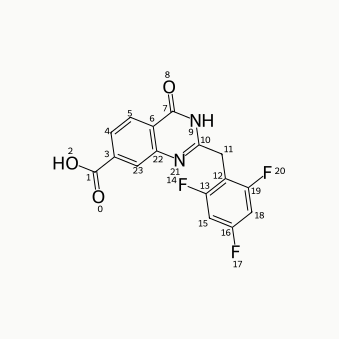 O=C(O)c1ccc2c(=O)[nH]c(Cc3c(F)cc(F)cc3F)nc2c1